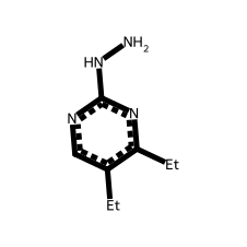 CCc1cnc(NN)nc1CC